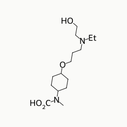 CCN(CCO)CCCOC1CCC(N(C)C(=O)O)CC1